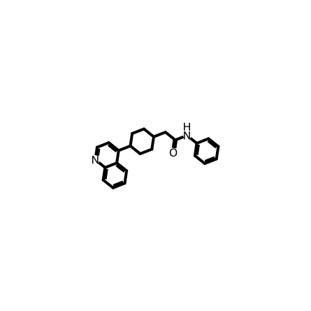 O=C(CC1CCC(c2ccnc3ccccc23)CC1)Nc1ccccc1